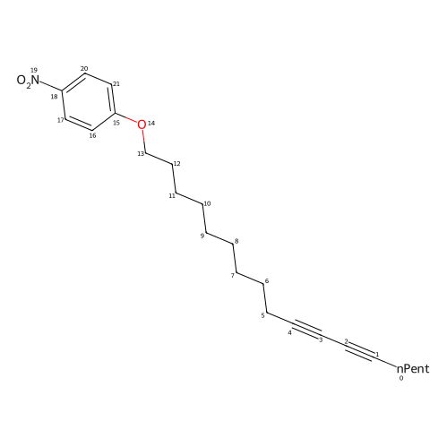 CCCCCC#CC#CCCCCCCCCCOc1ccc([N+](=O)[O-])cc1